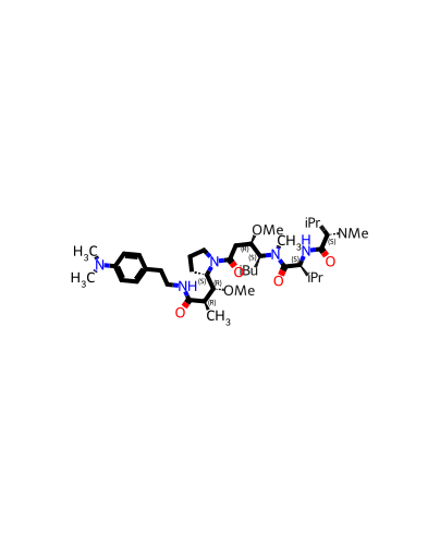 CCC(C)[C@@H]([C@@H](CC(=O)N1CCC[C@H]1[C@H](OC)[C@@H](C)C(=O)NCCc1ccc(N(C)C)cc1)OC)N(C)C(=O)[C@@H](NC(=O)[C@@H](NC)C(C)C)C(C)C